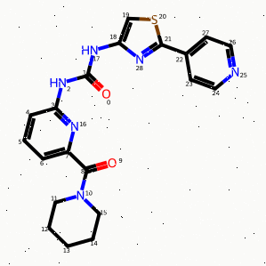 O=C(Nc1cccc(C(=O)N2CCCCC2)n1)Nc1csc(-c2ccncc2)n1